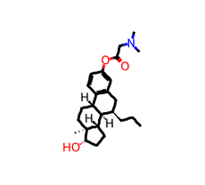 CCC[C@@H]1Cc2cc(OC(=O)CN(C)C)ccc2[C@H]2CC[C@]3(C)[C@@H](O)CC[C@H]3[C@H]12